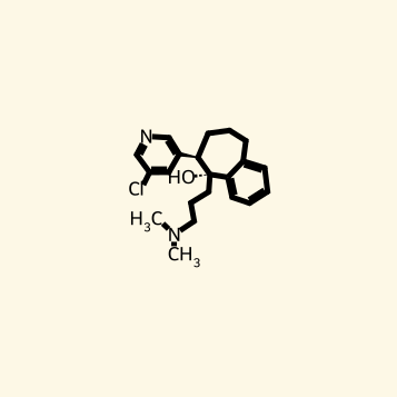 CN(C)CCC[C@]1(O)c2ccccc2CCC[C@@H]1c1cncc(Cl)c1